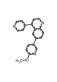 COc1ccc(-c2ccc3nccc(-c4ccncc4)c3c2)cn1